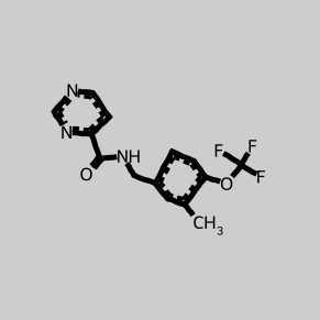 Cc1cc(CNC(=O)c2ccncn2)ccc1OC(F)(F)F